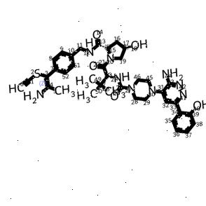 C#CS/C(=C(/C)N)c1ccc(CNC(=O)[C@@H]2C[C@@H](O)CN2C(=O)[C@@H](NC(=O)N2CCN(c3cc(-c4ccccc4O)nnc3N)CC2)C(C)(C)C)cc1